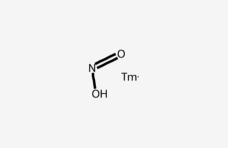 O=NO.[Tm]